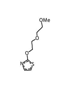 COCCOCCOc1nccs1